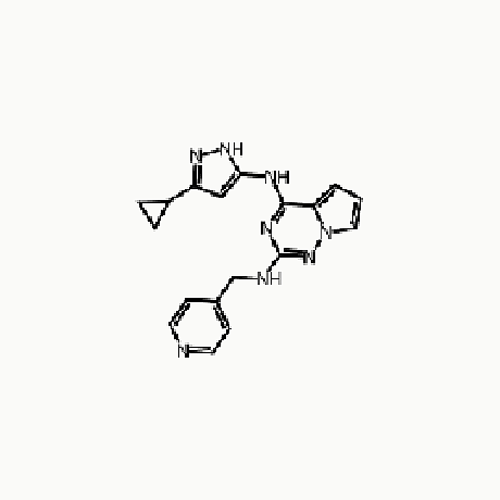 c1cc2c(Nc3cc(C4CC4)n[nH]3)nc(NCc3ccncc3)nn2c1